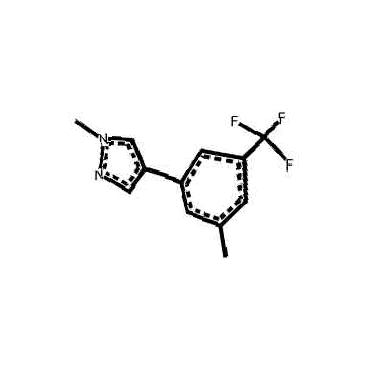 Cc1cc(-c2cnn(C)c2)cc(C(F)(F)F)c1